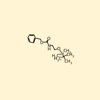 CC(C)(C)[Si](C)(C)OCCNC(=O)OCc1ccccc1